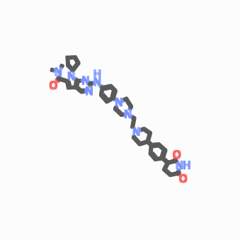 CN(C)C(=O)c1cc2cnc(Nc3ccc(N4CCN(CCN5CCC(c6ccc(C7CCC(=O)NC7=O)cc6)CC5)CC4)cc3)nc2n1C1CCCC1